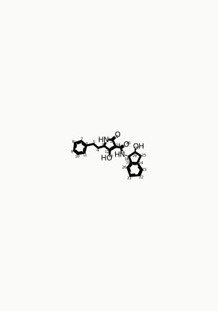 O=C1NC(CCc2ccccc2)C(O)=C1C(=O)N[C@H]1c2ccccc2C[C@@H]1O